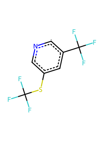 FC(F)(F)Sc1cn[c]c(C(F)(F)F)c1